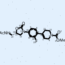 COC(=O)N1CC=C(c2ccc(N3C[C@H](CNC(C)=O)OC3=O)cc2F)CC1